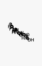 CN=S(=O)(c1ccc(Nc2nccn3c(-c4ccc(OC)c(F)c4F)cnc23)cc1C)C1CCN(C(=O)C2CC(O)CN2)CC1